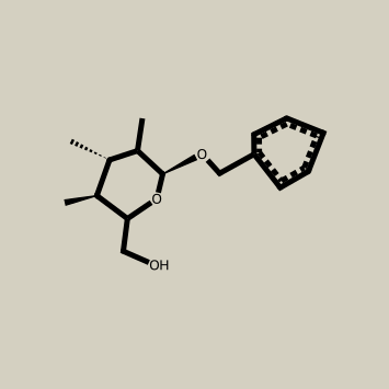 CC1[C@@H](OCc2ccccc2)OC(CO)[C@@H](C)[C@@H]1C